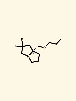 CCCOC[C@]12CCCN1CC(F)(F)C2